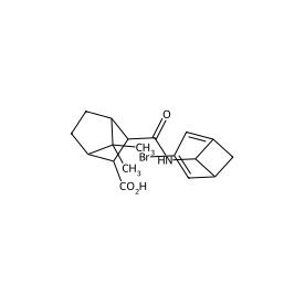 CC1(C)C2CCC1C(C(=O)NC1C3=CC(Br)=CC1C3)C2C(=O)O